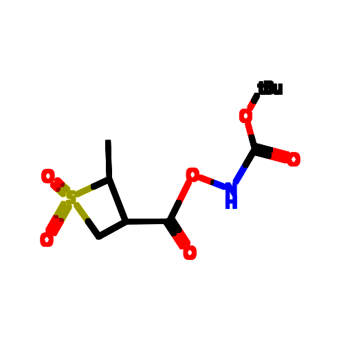 CC1C(C(=O)ONC(=O)OC(C)(C)C)CS1(=O)=O